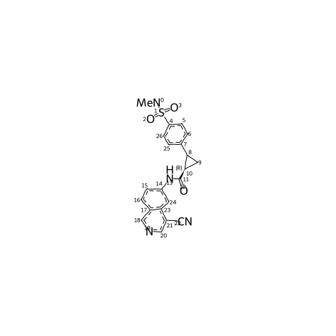 CNS(=O)(=O)c1ccc(C2C[C@H]2C(=O)Nc2ccc3cncc(C#N)c3c2)cc1